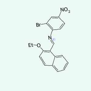 CCOc1ccc2ccccc2c1/C=N/c1ccc([N+](=O)[O-])cc1Br